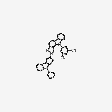 N#Cc1cc(C#N)cc(-n2c3ccccc3c3ccc4nn(-c5ccc6c(c5)c5ccccc5n6-c5ccccc5)cc4c32)c1